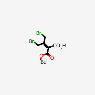 CCC(C)OC(=O)C(C(=O)O)=C(CBr)CBr